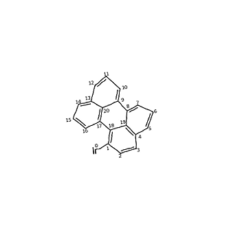 [Ir][c]1ccc2cccc3c4cccc5cccc(c1c23)c54